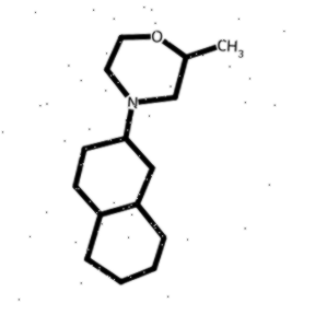 CC1CN(C2CCC3CCCCC3C2)CCO1